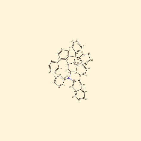 c1ccc(-c2cccc3c2-c2cc(N(c4ccccc4)c4ccc5ccccc5c4)c4ccccc4c2C3(c2ccccc2)c2ccccc2)cc1